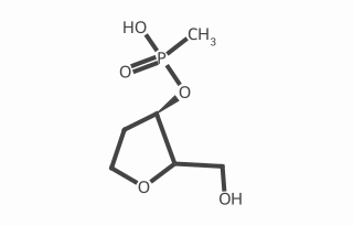 CP(=O)(O)O[C@@H]1CCOC1CO